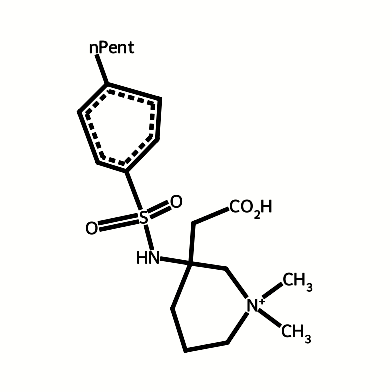 CCCCCc1ccc(S(=O)(=O)NC2(CC(=O)O)CCC[N+](C)(C)C2)cc1